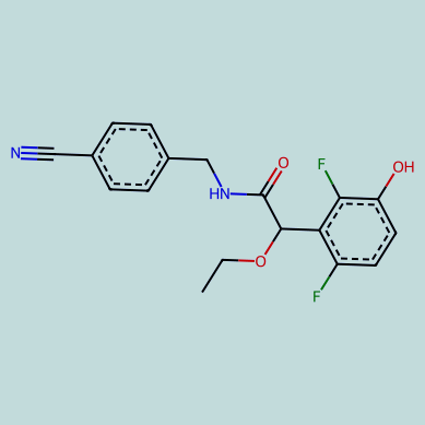 CCOC(C(=O)NCc1ccc(C#N)cc1)c1c(F)ccc(O)c1F